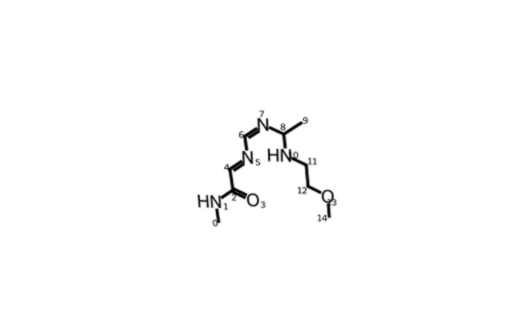 CNC(=O)/C=N/C=N\C(C)NCCOC